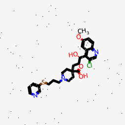 COc1ccc2ncc(Cl)c([C@@H](O)CCC3(C(=O)O)CCN(CCCSc4cccnc4)CC3)c2c1